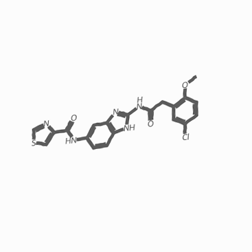 COc1ccc(Cl)cc1CC(=O)Nc1nc2cc(NC(=O)c3cscn3)ccc2[nH]1